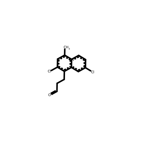 Cc1cc(Cl)c(CCC=O)c2cc(Cl)ccc12